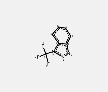 FC(F)(F)n1nnc2ccccc21